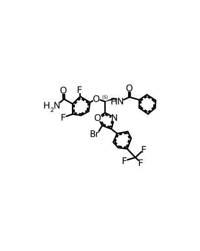 NC(=O)c1c(F)ccc(O[C@@H](CNC(=O)c2ccccc2)c2nc(-c3ccc(C(F)(F)F)cc3)c(Br)o2)c1F